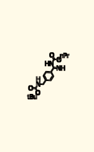 CCCOC(=O)NC(=N)c1ccc(CNC(=O)OC(C)(C)C)cc1